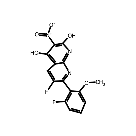 COc1cccc(F)c1-c1nc2nc(O)c([N+](=O)[O-])c(O)c2cc1F